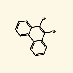 Nc1c(O)c2ccccc2c2ccccc12